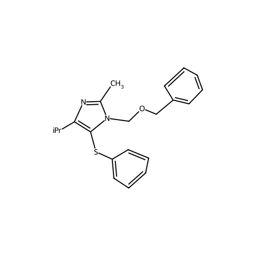 Cc1nc(C(C)C)c(Sc2ccccc2)n1COCc1ccccc1